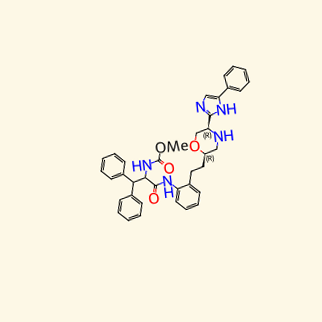 COC(=O)NC(C(=O)Nc1ccccc1CC[C@@H]1CN[C@H](c2ncc(-c3ccccc3)[nH]2)CO1)C(c1ccccc1)c1ccccc1